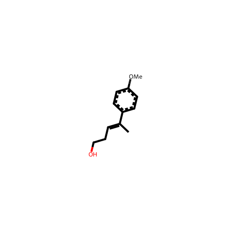 COc1ccc(/C(C)=C/CCO)cc1